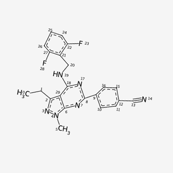 CCc1nn(C)c2nc(-c3ccc(C#N)cc3)nc(NCc3c(F)cccc3F)c12